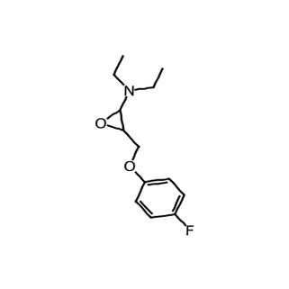 CCN(CC)C1OC1COc1ccc(F)cc1